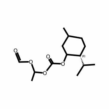 CC1CC[C@H](C(C)C)C(OC(=O)OC(C)OC=O)C1